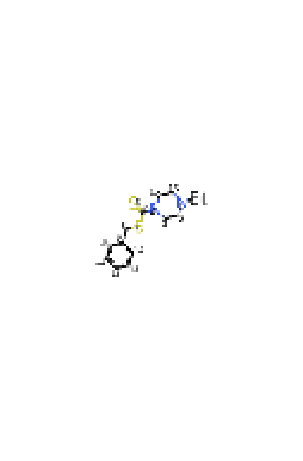 CCN1CCN(C(=S)SCc2ccccc2)CC1